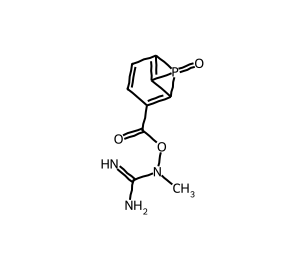 CN(OC(=O)c1ccc2c3c1P23=O)C(=N)N